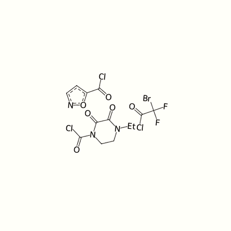 CCN1CCN(C(=O)Cl)C(=O)C1=O.O=C(Cl)C(F)(F)Br.O=C(Cl)c1ccno1